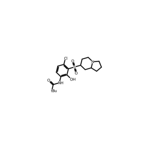 CC(C)(C)C(=O)Nc1ccc(Cl)c(S(=O)(=O)C2CCN3CCCC3C2)c1O